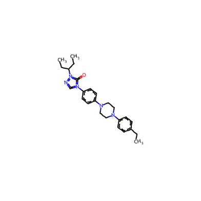 CCc1ccc(N2CCN(c3ccc(-n4cnn(C(CC)CC)c4=O)cc3)CC2)cc1